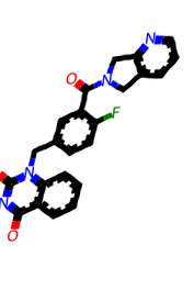 O=C(c1cc(Cn2c(=O)[nH]c(=O)c3ccccc32)ccc1F)N1Cc2cccnc2C1